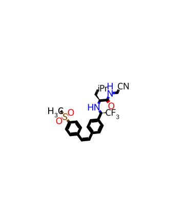 CC(C)C[C@H](N[C@@H](c1ccc(/C=C\c2ccc(S(C)(=O)=O)cc2)cc1)C(F)(F)F)C(=O)NCC#N